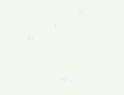 NC(=O)c1cc(Br)nc(Br)c1